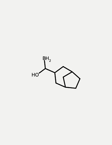 BC(O)C1CC2CCC(C2)C1